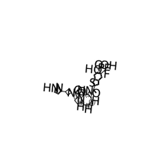 O=C(N[C@H]1C[C@@H]2C[C@@H]2C[C@H]2CC[C@@H](C(=O)N3CC(c4cc[nH]n4)C3)N2C1=O)c1cc2cc(C(F)(F)P(=O)(O)O)ccc2s1